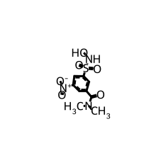 CN(C)C(=O)c1cc([N+](=O)[O-])cc(S(=O)(=O)NO)c1